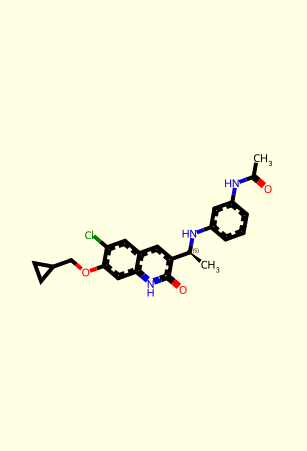 CC(=O)Nc1cccc(N[C@@H](C)c2cc3cc(Cl)c(OCC4CC4)cc3[nH]c2=O)c1